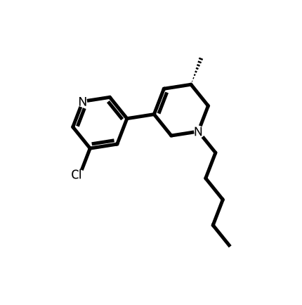 CCCCCN1CC(c2cncc(Cl)c2)=C[C@H](C)C1